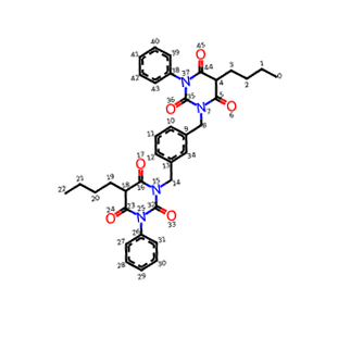 CCCCC1C(=O)N(Cc2cccc(CN3C(=O)C(CCCC)C(=O)N(c4ccccc4)C3=O)c2)C(=O)N(c2ccccc2)C1=O